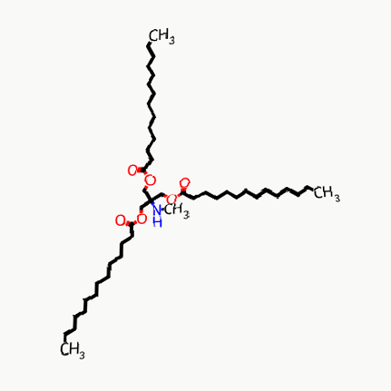 CCCCCCCCCCCCCC(=O)OCC(COC(=O)CCCCCCCCCCCCC)(COC(=O)CCCCCCCCCCCCC)NC